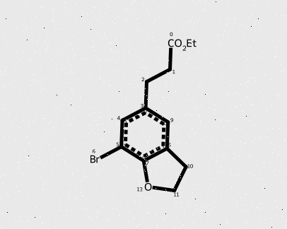 CCOC(=O)CCc1cc(Br)c2c(c1)CCO2